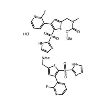 CN(Cc1cc(-c2cccnc2F)c(S(=O)(=O)c2ncc[nH]2)s1)C(=O)OC(C)(C)C.CNCc1cc(-c2cccnc2F)c(S(=O)(=O)c2ncc[nH]2)s1.Cl